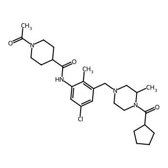 CC(=O)N1CCC(C(=O)Nc2cc(Cl)cc(CN3CCN(C(=O)C4CCCC4)C(C)C3)c2C)CC1